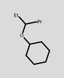 CCC(OC1CCCCC1)C(C)C